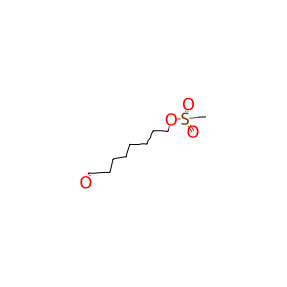 CS(=O)(=O)OCCCCCCCC=O